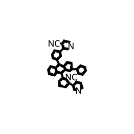 N#Cc1ccncc1-c1cccc(-c2c3ccccc3c(-c3cccc(-c4cnccc4C#N)c3)c3cc(-c4ccccc4)ccc23)c1